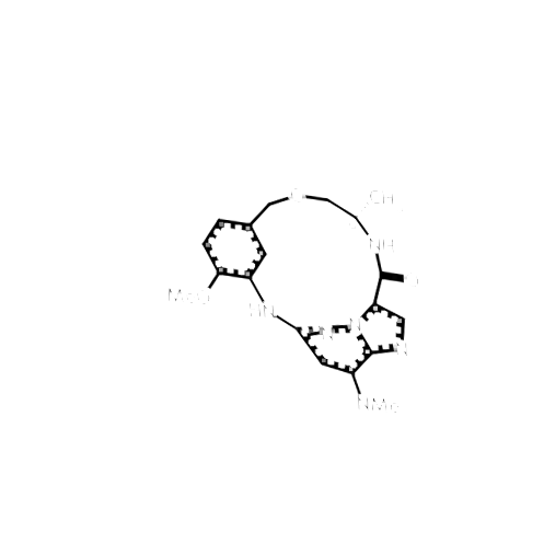 CNc1cc2nn3c(cnc13)C(=O)N[C@@H](C)COCc1ccc(OC)c(c1)N2